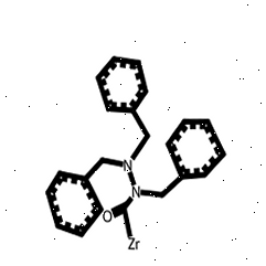 O=[C]([Zr])N(Cc1ccccc1)N(Cc1ccccc1)Cc1ccccc1